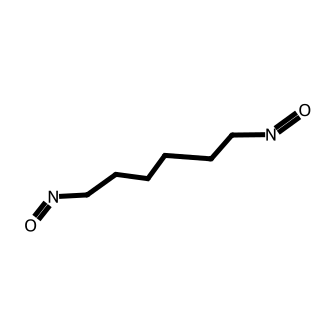 O=NCCCCCCN=O